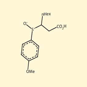 CCCCCCC(CC(=O)O)[S+]([O-])c1ccc(OC)cc1